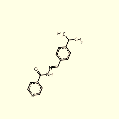 CC(C)c1ccc(/C=N/NC(=O)c2ccncc2)cc1